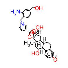 C[C@]12C=CC(=O)C=C1CC[C@@H]1[C@@H]2[C@@H](O)C[C@@]2(C)[C@H]1C[C@H]1O[C@@H](c3ccn(Cc4ccc(CO)cc4N)c3)O[C@]12C(=O)CO